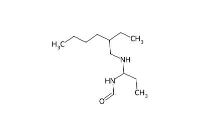 CCCCC(CC)CNC(CC)N[C]=O